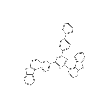 c1ccc(-c2ccc(-c3nc(-c4ccc5c(ccc6oc7ccccc7c65)c4)nc(-c4cccc5oc6ccccc6c45)n3)cc2)cc1